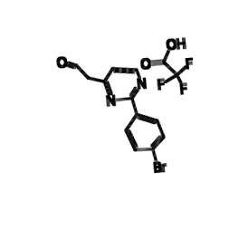 O=C(O)C(F)(F)F.O=CCc1ccnc(-c2ccc(Br)cc2)n1